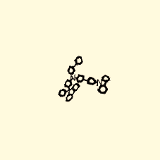 c1ccc(-c2cccc(N(c3ccc(-c4ccc(-n5c6ccccc6c6ccccc65)cc4)cc3)c3cccc(C4(c5ccccc5)c5ccccc5-c5ccccc54)c3)c2)cc1